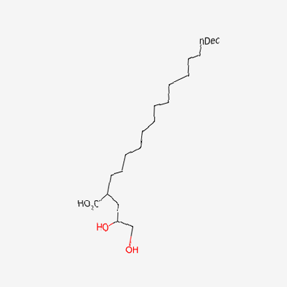 CCCCCCCCCCCCCCCCCCCCCCC(CC(O)CO)C(=O)O